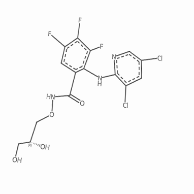 O=C(NOC[C@H](O)CO)c1cc(F)c(F)c(F)c1Nc1ncc(Cl)cc1Cl